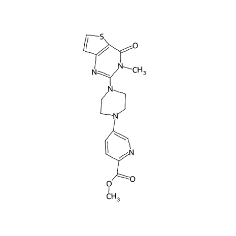 COC(=O)c1ccc(N2CCN(c3nc4ccsc4c(=O)n3C)CC2)cn1